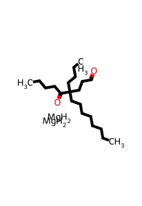 CCCCCCCCC(CCC=O)(CCCC)C(=O)CCCC.[MgH2].[MgH2]